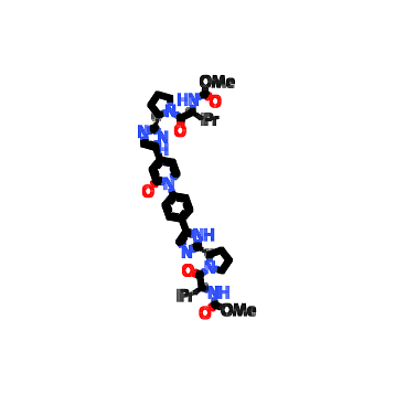 COC(=O)N[C@H](C(=O)N1CCC[C@H]1c1ncc(-c2ccc(-n3ccc(-c4cnc([C@@H]5CCCN5C(=O)[C@@H](NC(=O)OC)C(C)C)[nH]4)cc3=O)cc2)[nH]1)C(C)C